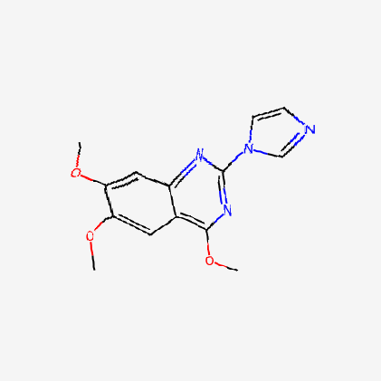 COc1cc2nc(-n3ccnc3)nc(OC)c2cc1OC